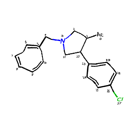 CC(=O)C1CN(Cc2ccccc2)CC1c1ccc(Cl)cc1